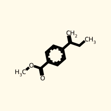 C=C(CC)c1ccc(C(=O)OC)cc1